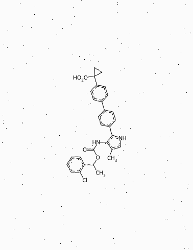 Cc1c[nH]c(-c2ccc(-c3ccc(C4(C(=O)O)CC4)cc3)cc2)c1NC(=O)OC(C)c1ccccc1Cl